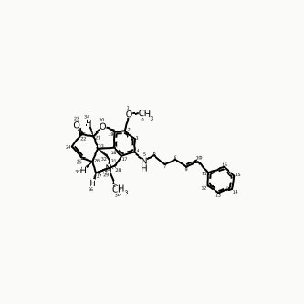 COc1cc(NCCCC=Cc2ccccc2)c2c3c1O[C@H]1C(=O)C=C[C@H]4[C@@H](C2)N(C)CC[C@]314